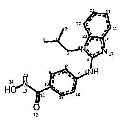 CC(C)Cn1c(Nc2ccc(C(=O)NO)cc2)nc2ccccc21